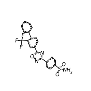 NS(=O)(=O)c1ccc(-c2noc(-c3ccc(-c4ccccc4)c(C(F)(F)F)c3)n2)cc1